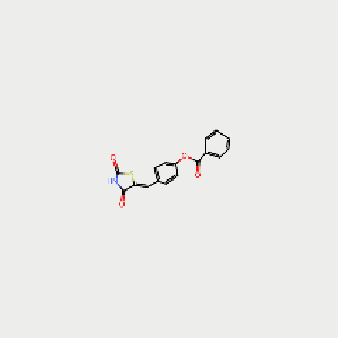 O=C1NC(=O)C(=Cc2ccc(OC(=O)c3ccccc3)cc2)S1